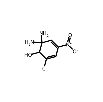 NC1(N)C=C([N+](=O)[O-])C=C(Cl)C1O